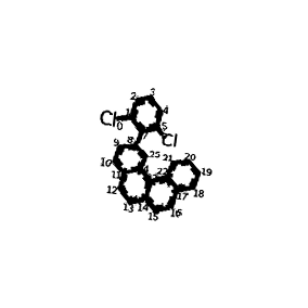 Clc1cccc(Cl)c1-c1ccc2ccc3ccc4ccccc4c3c2c1